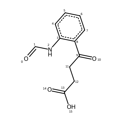 O=CNc1ccccc1C(=O)CCC(=O)O